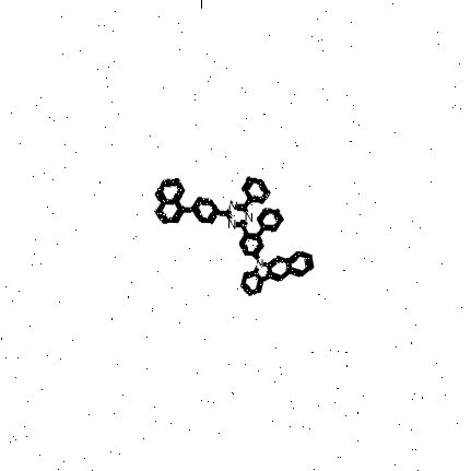 c1ccc(-c2nc(-c3ccc(-c4cccc5ccccc45)cc3)nc(-c3ccc(-n4c5ccccc5c5cc6ccccc6cc54)cc3-c3ccccc3)n2)cc1